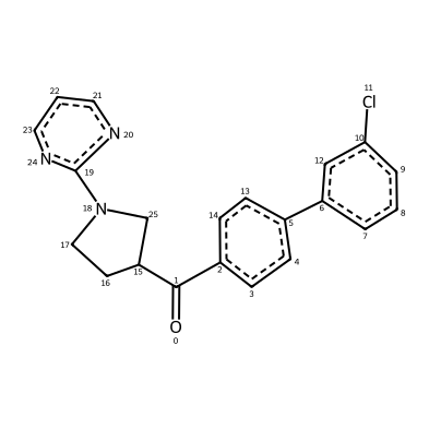 O=C(c1ccc(-c2cccc(Cl)c2)cc1)C1CCN(c2ncccn2)C1